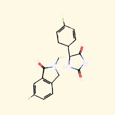 O=C1NC(=O)[C@](CN2Cc3ccc(F)cc3C2=O)(C2C=CC(F)=CC2)N1